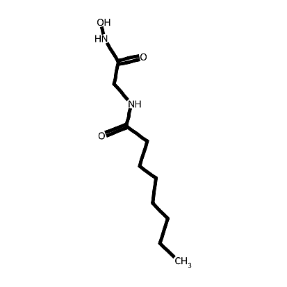 CCCCCCCC(=O)NCC(=O)NO